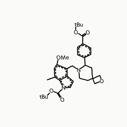 COc1cc(C)c2c(ccn2C(=O)OC(C)(C)C)c1CN1CCC2(COC2)CC1c1ccc(C(=O)OC(C)(C)C)cc1